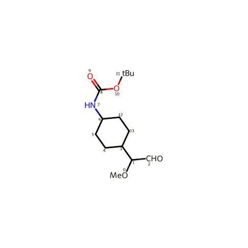 COC(C=O)C1CCC(NC(=O)OC(C)(C)C)CC1